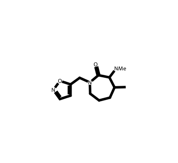 CNC1C(=O)N(Cc2ccno2)CCCC1C